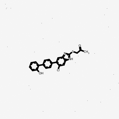 CC(=O)CSc1nc2cc(-c3ccc(-c4ccccc4O)cc3)c(Cl)cc2[nH]1